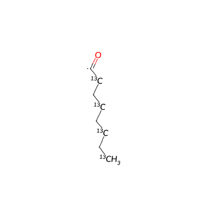 [13CH3]C[13CH2]C[13CH2]C[13CH2][C]=O